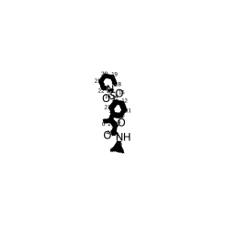 Cc1c(C(=O)NC2CC2)oc2ccc(S(=O)(=O)N3CCCCC3)cc12